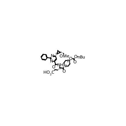 CCCCOC(=O)ON1CCN(C(=O)[C@H](CCC(=O)O)NC(=O)c2cc([C@@H]3C[C@@H]3COC)nc(-c3ccccc3)n2)CC1